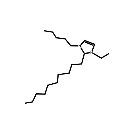 CCCCCCCCCCC1N(CC)C=CN1CCCCC